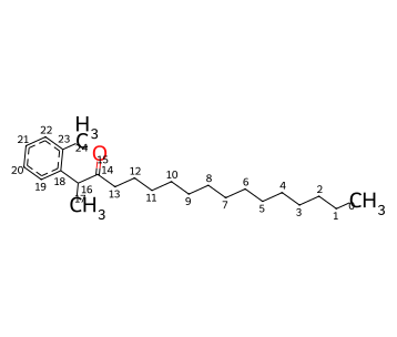 CCCCCCCCCCCCCCC(=O)C(C)c1ccccc1C